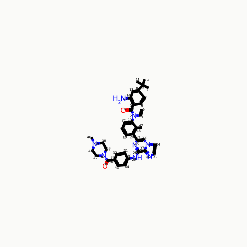 C=CN(C(=O)c1ccc(C(C)(C)C)cc1N)c1cccc(-c2cn3ccnc3c(Nc3ccc(C(=O)N4CCN(C)CC4)cc3)n2)c1C